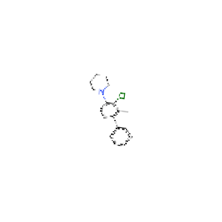 Cc1c(-c2ccccc2)ccc(N2CCCCC2)c1Cl